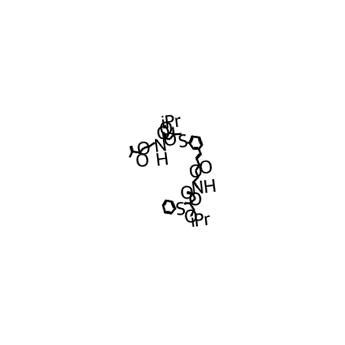 C=C(C)C(=O)OCCNC(=O)OC(COC(C)C)CSc1cccc(/C=C/C(=O)OCCNC(=O)OC(COC(C)C)CSc2ccccc2)c1